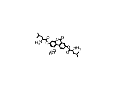 CC(C)C[C@@H](N)C(=O)Oc1ccc2c(c1)c(=O)oc1cc(OC(=O)[C@@H](N)CC(C)C)ccc12.Cl.Cl